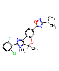 CC(C)c1noc(-c2ccc3c(c2)OC(C)(C)c2[nH]c(-c4c(F)cccc4Cl)nc2-3)n1